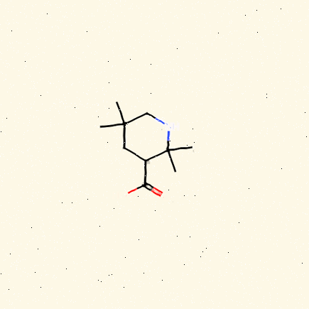 CC1(C)CNC(C)(C)C(C(=O)O)C1